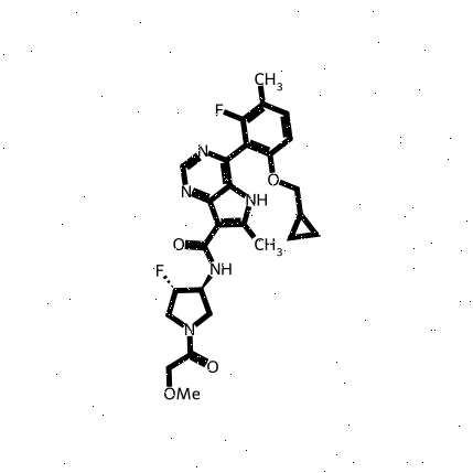 COCC(=O)N1C[C@H](NC(=O)c2c(C)[nH]c3c(-c4c(OCC5CC5)ccc(C)c4F)ncnc23)[C@@H](F)C1